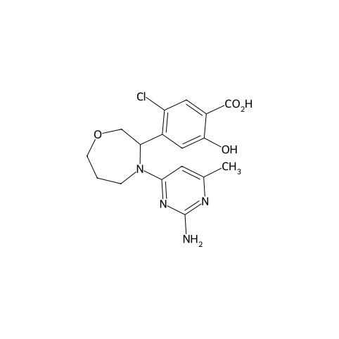 Cc1cc(N2CCCOCC2c2cc(O)c(C(=O)O)cc2Cl)nc(N)n1